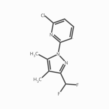 Cc1c(C(F)F)nn(-c2[c]ccc(Cl)n2)c1C